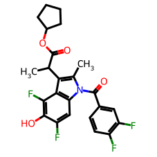 Cc1c(C(C)C(=O)OC2CCCC2)c2c(F)c(O)c(F)cc2n1C(=O)c1ccc(F)c(F)c1